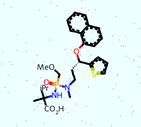 COCP(=O)(NC(C)(C(=O)O)C(C)C)N(C)CC[C@H](Oc1cccc2ccccc12)c1cccs1